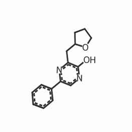 Oc1ncc(-c2ccccc2)nc1CC1CCCO1